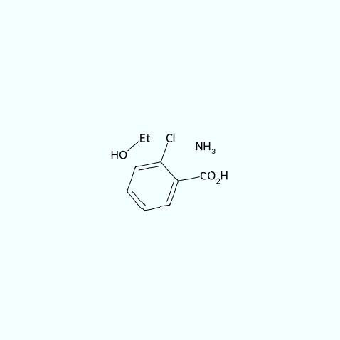 CCO.N.O=C(O)c1ccccc1Cl